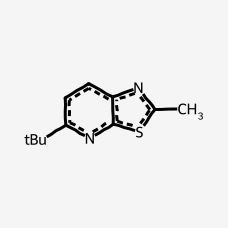 Cc1nc2ccc(C(C)(C)C)nc2s1